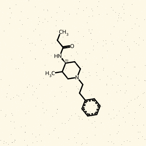 CCC(=O)N[C@H]1CCN(CCc2ccccc2)CC1C